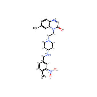 Cc1ccc2ncc(=O)n(CCN3CCC(NCc4ccc(C)c([N+](=O)[O-])c4)CC3)c2c1